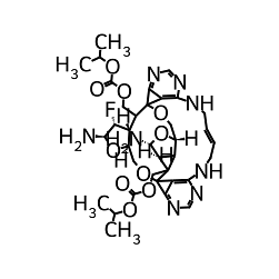 CC(C)OC(=O)OCC1[C@H]2[C@@H](F)[C@H](N)O[C@@H]2COC23c4ncnc(c42)NC/C=C/CNc2ncnc4c2C41OC[C@H]1O[C@@H](N)[C@H]2[C@@H]1C23COC(=O)OC(C)C